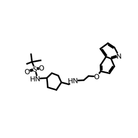 CC(C)(C)S(=O)(=O)NC1CCC(CNCCOc2ccc3ncccc3c2)CC1